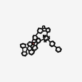 c1ccc(-c2ccc(-c3nc(-c4ccc5oc6ccccc6c5c4)nc(-c4cccc5oc6ccc(-c7ccc(-c8ccc9c(c8)-c8ccccc8C98c9ccccc9-c9ccccc98)cc7)cc6c45)n3)cc2)cc1